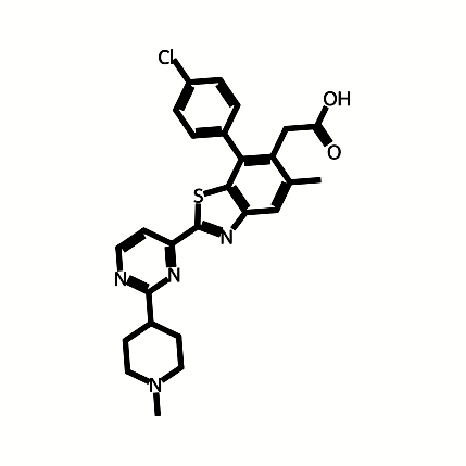 Cc1cc2nc(-c3ccnc(C4CCN(C)CC4)n3)sc2c(-c2ccc(Cl)cc2)c1CC(=O)O